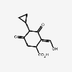 O=C(O)C1CC(=O)C(C2CC2)C(=O)C1=CO